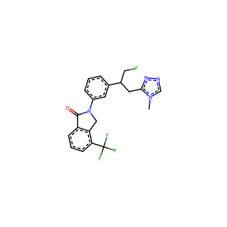 Cn1cnnc1CC(CF)c1cccc(N2Cc3c(cccc3C(F)(F)F)C2=O)c1